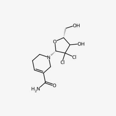 NC(=O)C1=CCCN([C@@H]2O[C@H](CO)C(O)C2(Cl)Cl)C1